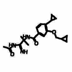 CC(=O)NC(=N)C(C)(C)NC(=O)c1ccc(C2CC2)c(OCC2CC2)c1